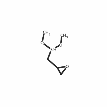 CO[SiH](CC1CO1)OC